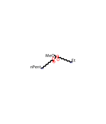 CC/C=C\CCCCCCCC(=O)OC(COC)COC(=O)CCCCCCC/C=C\CCCCC